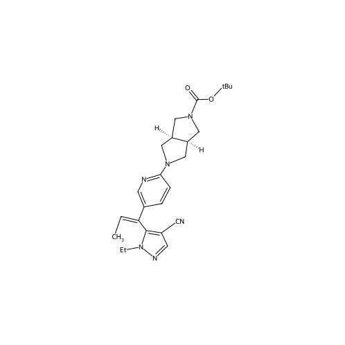 C/C=C(/c1ccc(N2C[C@H]3CN(C(=O)OC(C)(C)C)C[C@H]3C2)nc1)c1c(C#N)cnn1CC